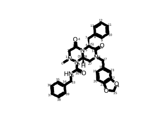 CN1CC(=O)N2[C@@H](Cc3ccccc3)C(=O)N(Cc3ccc4c(c3)OCO4)C[C@@H]2N1C(=O)NCc1ccccc1